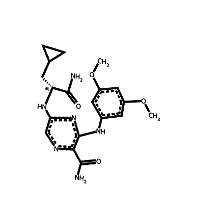 COc1cc(Nc2nc(N[C@H](CC3CC3)C(N)=O)cnc2C(N)=O)cc(OC)c1